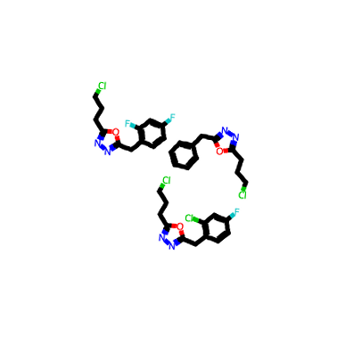 ClCCCc1nnc(Cc2ccccc2)o1.Fc1ccc(Cc2nnc(CCCCl)o2)c(Cl)c1.Fc1ccc(Cc2nnc(CCCCl)o2)c(F)c1